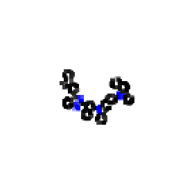 CC1(C)c2ccccc2-c2ccc(-c3nc(-c4ccc(-n5c6ccccc6c6cc7cc(-n8c9ccccc9c9ccc%10ccccc%10c98)ccc7cc65)c5ccccc45)nc4ccccc34)cc21